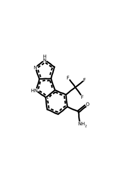 NC(=O)c1ccc2[nH]c3n[nH]cc3c2c1C(F)(F)F